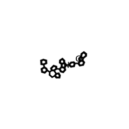 c1ccc(-c2cccc(C3CCc4ccccc4-c4c(-c5cccc6c5c5ccccc5n6-c5ccc(-c6cccc7c6oc6ccccc67)cc5)cccc43)c2)cc1